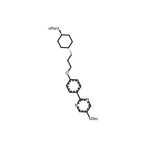 CCCCCCCCCCc1cnc(-c2ccc(OCCC[C@H]3CC[C@H](CCCCC)CC3)cc2)nc1